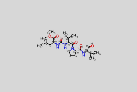 COC(=O)[C@H](CC(C)C)NC(=O)N[C@H](C(=O)N1CCC[C@H]1C(=O)N[C@H](C=O)C(C)C)C(C)C